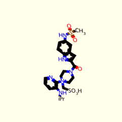 CC(C)Nc1cccnc1[N+]1(CS(=O)(=O)O)CCN(C(=O)c2cc3cc(NS(C)(=O)=O)ccc3[nH]2)CC1